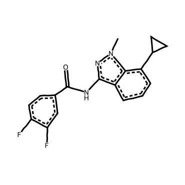 Cn1nc(NC(=O)c2ccc(F)c(F)c2)c2cccc(C3CC3)c21